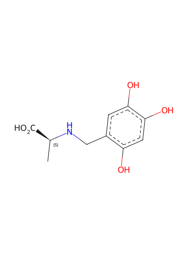 C[C@H](NCc1cc(O)c(O)cc1O)C(=O)O